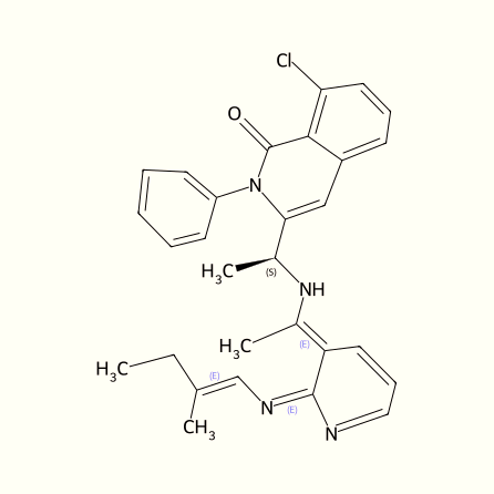 CC/C(C)=C/N=C1/N=CC=C/C1=C(/C)N[C@@H](C)c1cc2cccc(Cl)c2c(=O)n1-c1ccccc1